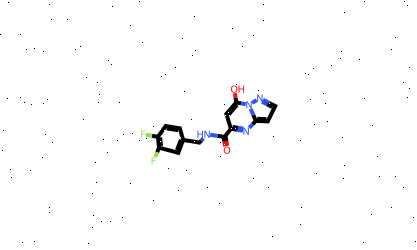 O=C(NCc1ccc(F)c(F)c1)c1cc(O)n2nccc2n1